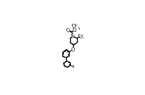 CCC1CC(Oc2cccc(-c3cccc(F)c3)c2)CCN1C(=O)OC(F)(F)F